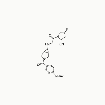 CC(=O)Nc1ccc(C(=O)N2CC3C(C2)C3NCC(=O)N2CC(F)CC2C#N)cc1